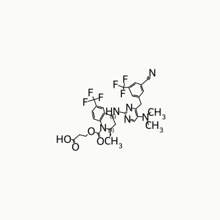 CC[C@@H]1C[C@H](Nc2ncc(N(C)C)c(Cc3cc(C#N)cc(C(F)(F)F)c3)n2)c2cc(C(F)(F)F)ccc2N1C(=O)OCCC(=O)O